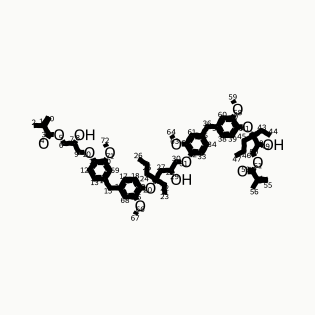 C=C(C)C(=O)OCC(O)COc1ccc(Cc2ccc(OC(CC)(CCC)CC(O)COc3ccc(Cc4ccc(OC(CC)(CCC)C(O)COC(=O)C(=C)C)c(OC)c4)cc3OC)c(OC)c2)cc1OC